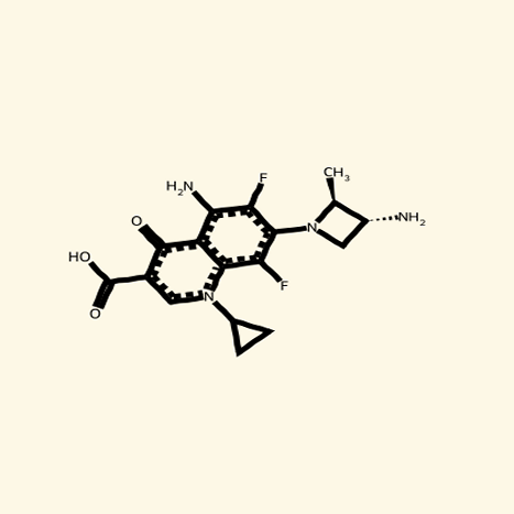 C[C@H]1[C@H](N)CN1c1c(F)c(N)c2c(=O)c(C(=O)O)cn(C3CC3)c2c1F